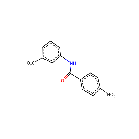 O=C(O)c1cccc(NC(=O)c2ccc([N+](=O)[O-])cc2)c1